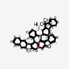 CC1(C)c2ccccc2-c2ccc(N(c3ccccc3-c3cccc4oc5cc6ccccc6cc5c34)c3cccc4oc5ccccc5c34)cc21